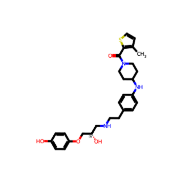 Cc1ccsc1C(=O)N1CCC(Nc2ccc(CCNC[C@H](O)COc3ccc(O)cc3)cc2)CC1